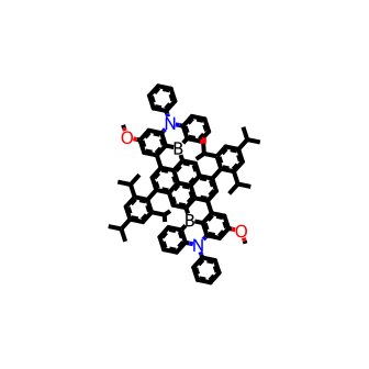 COc1cc2c3c(c1)N(c1ccccc1)c1ccccc1B3c1cc3c(-c4c(C(C)C)cc(C(C)C)cc4C(C)C)cc4c5c(cc6c(-c7c(C(C)C)cc(C(C)C)cc7C(C)C)cc-2c1c6c35)B1c2ccccc2N(c2ccccc2)c2cc(OC)cc-4c21